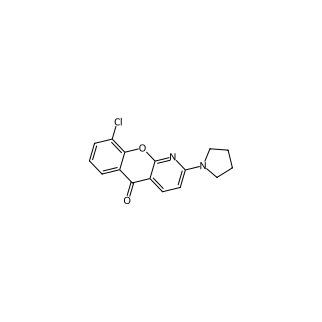 O=c1c2ccc(N3CCCC3)nc2oc2c(Cl)cccc12